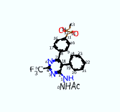 CC(=O)NNc1nc(C(F)(F)F)nc(-c2ccc(S(C)(=O)=O)cc2)c1-c1ccccc1